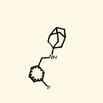 Brc1cccc(CNC23CC4CC(C2)C(C4)C3)c1